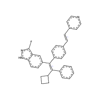 Fc1n[nH]c2ccc(/C(=C(/c3ccccc3)C3CCC3)c3ccc(/C=C/c4ccncc4)cc3)cc12